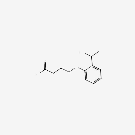 CC(O)c1ccccc1OCCCC(=O)O